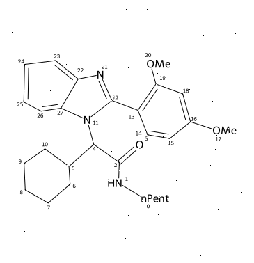 CCCCCNC(=O)C(C1CCCCC1)n1c(-c2ccc(OC)cc2OC)nc2ccccc21